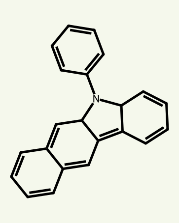 C1=CC2=C3C=c4ccccc4=CC3N(c3ccccc3)C2C=C1